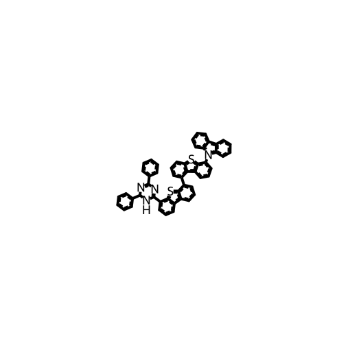 c1ccc(C2=NC(c3ccccc3)NC(c3cccc4c3sc3c(-c5cccc6sc7c(-n8c9ccccc9c9ccccc98)cccc7c56)cccc34)=N2)cc1